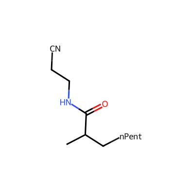 CCCCCCC(C)C(=O)NCCC#N